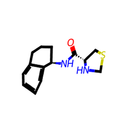 O=C(N[C@@H]1CCCc2ccccc21)[C@@H]1CSCN1